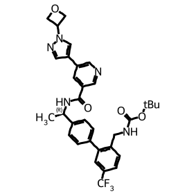 C[C@@H](NC(=O)c1cncc(-c2cnn(C3COC3)c2)c1)c1ccc(-c2cc(C(F)(F)F)ccc2CNC(=O)OC(C)(C)C)cc1